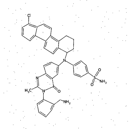 Cc1nc2ccc(N(c3ccc(S(N)(=O)=O)cc3)C3CCCc4c3ccc3c4ccc4c(Cl)cccc43)cc2c(=O)n1-c1ccccc1CN